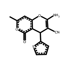 Cc1cc2c(c(=O)o1)C(c1cccs1)C(C#N)=C(N)O2